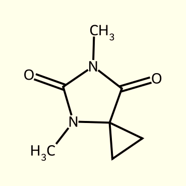 CN1C(=O)N(C)C2(CC2)C1=O